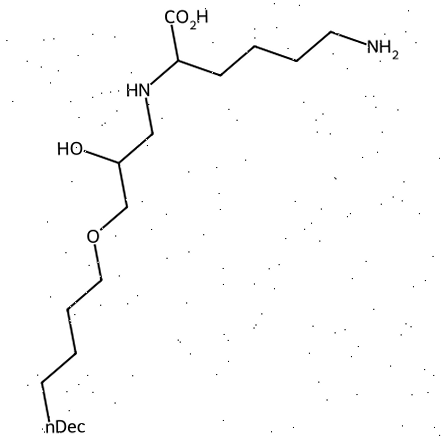 CCCCCCCCCCCCCCOCC(O)CNC(CCCCN)C(=O)O